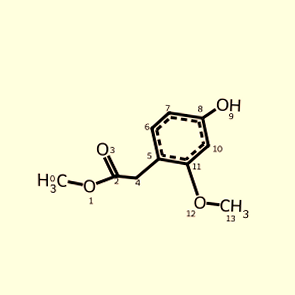 COC(=O)Cc1ccc(O)cc1OC